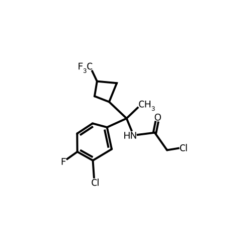 CC(NC(=O)CCl)(c1ccc(F)c(Cl)c1)C1CC(C(F)(F)F)C1